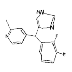 Cc1cc(C(c2c[nH]cn2)c2cccc(F)c2F)ccn1